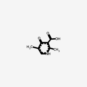 Cc1[nH]cc(C)c(=O)c1C(=O)O